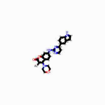 CC(=O)c1c(N2CCOCC2)c2ccc(Nc3nccc(-c4ccc5[nH]ccc5c4)n3)cc2oc1=O